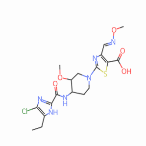 CCc1[nH]c(C(=O)NC2CCN(c3nc(C=NOC)c(C(=O)O)s3)CC2OC)nc1Cl